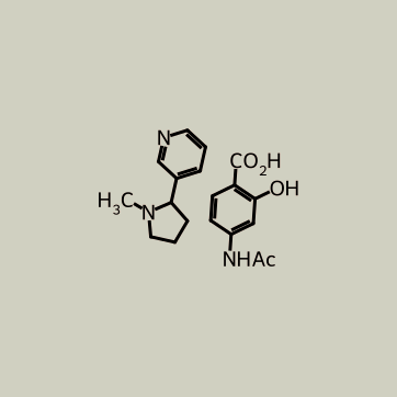 CC(=O)Nc1ccc(C(=O)O)c(O)c1.CN1CCCC1c1cccnc1